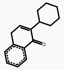 O=C1C(C2CCCCC2)=CCc2ccccc21